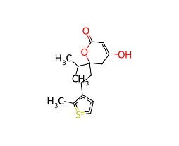 Cc1sccc1CCC1(C(C)C)CC(O)=CC(=O)O1